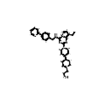 CCc1cnn2c(NCc3ccc(-c4ccccn4)cc3)nc(N3CCC(C4CCN(CCO)CC4)CC3)nc12